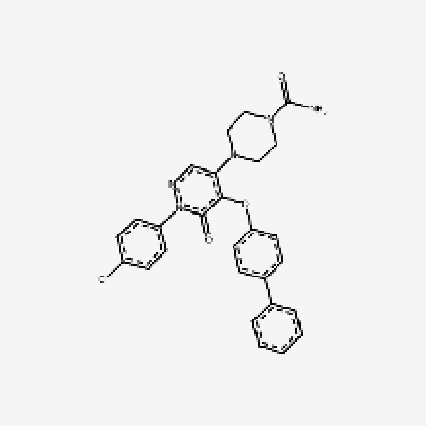 NC(=O)N1CCN(c2cnn(-c3ccc(Cl)cc3)c(=O)c2Oc2ccc(-c3ccccc3)cc2)CC1